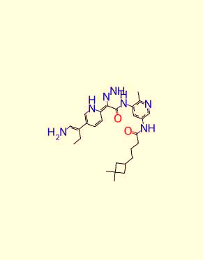 CC/C(=C\N)C1=CN/C(=C(\N=N)C(=O)Nc2cc(NC(=O)CCCC3CC(C)(C)C3)cnc2C)C=C1